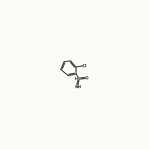 N=[SH](=O)c1ccccc1Cl